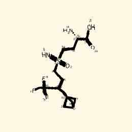 N=S(=O)(CCC(C(F)(F)F)C12CC(C1)C2)CC[C@H](N)C(=O)O